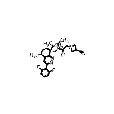 CCN(C[C@@]1(C(C)C)CC[C@H](C)c2cc(-c3c(F)cccc3F)nnc21)C(=O)CN1CC(C#N)C1